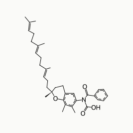 CC(C)=CCC/C(C)=C/CC/C(C)=C/CC[C@]1(C)CCc2cc(N(C(=O)O)C(=O)c3ccccc3)c(C)c(C)c2O1